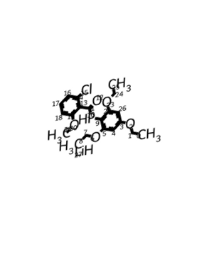 CCOc1cc(OCC)c(PC(=O)c2c(Cl)cccc2OC)c(OCC)c1.[LiH]